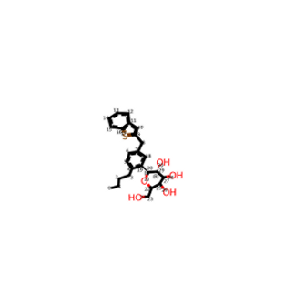 CCCCc1ccc(Cc2cc3ccccc3s2)cc1[C@@H]1OC(CO)C(O)C(O)[C@H]1O